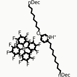 CCCCCCCCCCCCCCCCCCCc1ccc(OCCCCCCCCCCCCCCCCCC)c[nH+]1.Fc1c(F)c(F)c([B-](c2c(F)c(F)c(F)c(F)c2F)(c2c(F)c(F)c(F)c(F)c2F)c2c(F)c(F)c(F)c(F)c2F)c(F)c1F